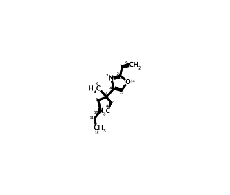 C=Cc1nc(C(C)(CC)CCCC)co1